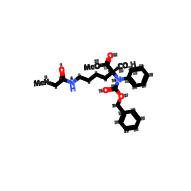 CNCC(=O)NCCCC[C@](C(=O)O)(C(=O)OC)N(C(=O)OCc1ccccc1)c1ccccc1